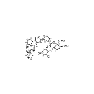 COc1ccc([C@H](Cc2c(Cl)c[n+]([O-])cc2Cl)OC(=O)c2cccc(-c3cccc(CN(C(=O)O[C@H]4CN5CCC4CC5)c4ccccc4F)c3)c2)cc1OC